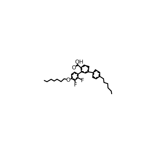 CCCCCCCOc1ccc(-c2cc(-c3ccc(CCCCCC)cc3)ccc2C(=O)O)c(F)c1F